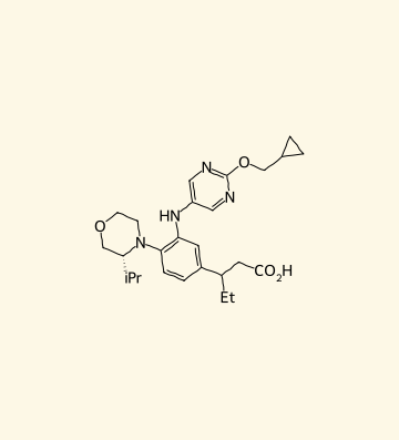 CCC(CC(=O)O)c1ccc(N2CCOC[C@H]2C(C)C)c(Nc2cnc(OCC3CC3)nc2)c1